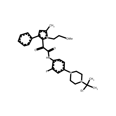 CCC(C)(C)N1CCN(c2ccc(NC(=O)C(=O)c3c(-c4ccccc4)cc(C)n3CCOC)c(F)c2)CC1